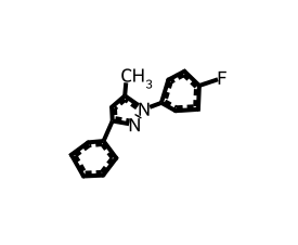 Cc1cc(-c2ccccc2)nn1-c1ccc(F)cc1